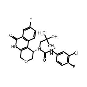 CC(C)(O)CN(C(=O)Nc1ccc(F)c(Cl)c1)[C@@H]1COCc2[nH]c(=O)c3cc(F)ccc3c21